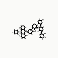 c1ccc(-c2ccc(-c3ccccc3)c(-c3cccc4c3oc3ccc(-c5c6ccccc6c(-c6ccccc6)c6ccccc56)cc34)c2)cc1